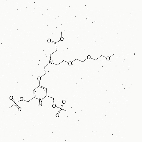 COCCOCCOCCN(CCOC1=CC(COS(C)(=O)=O)NC(COS(C)(=O)=O)=C1)CCC(=O)OC